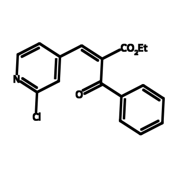 CCOC(=O)C(=Cc1ccnc(Cl)c1)C(=O)c1ccccc1